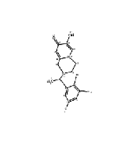 CC(c1cc(F)cc(F)c1F)N1CCn2cc(O)c(=O)cc2C1